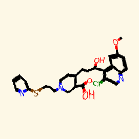 COc1ccc2ncc(Cl)c(C(O)CCC3CCN(CCSc4ccccn4)CC3C(=O)O)c2c1